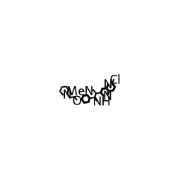 CNCC(C(=N)c1ccc(OCCN2CCCCC2)cc1)c1cnc2ccc(Cl)nc2c1